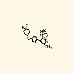 CC1=NN2CCS(=O)(=O)N=C2C(c2ccc(OC3CCC(F)(F)CC3)cc2)=C1